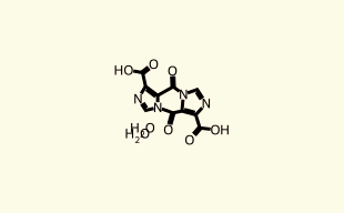 O.O.O=C(O)c1ncn2c(=O)c3c(C(=O)O)ncn3c(=O)c12